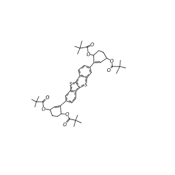 CC(C)(C)C(=O)OC1C=C(c2ccc3c(c2)sc2c4ccc(C5=CC(OC(=O)C(C)(C)C)CCC5OC(=O)C(C)(C)C)cc4sc32)C(OC(=O)C(C)(C)C)CC1